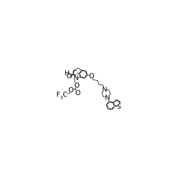 Cc1c2cc(OCCCCN3CCN(c4cccc5sccc45)CC3)cc1N(COC(=O)OCC(F)(F)F)C(=O)CC2